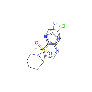 Nc1nc2ncc3c(n2n1)CC1CCCC3N1S(=O)(=O)c1ccc(Cl)cc1